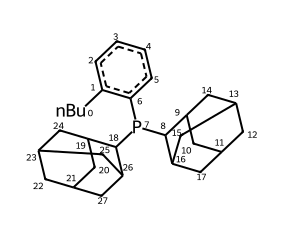 CCCCc1ccccc1P(C1C2CC3CC(C2)CC1C3)C1C2CC3CC(C2)CC1C3